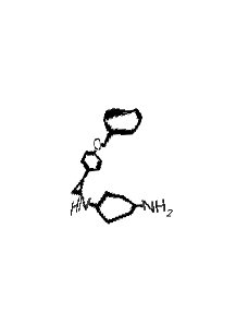 NC1CCC(NC2CC2c2ccc(OCc3ccccc3)cc2)CC1